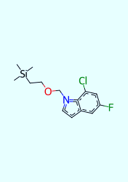 C[Si](C)(C)CCOCn1ccc2cc(F)cc(Cl)c21